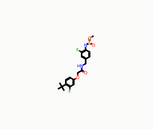 CO[SH](=O)=Nc1ccc(CNC(=O)COc2ccc(C(C)(C)C)c(F)c2)cc1F